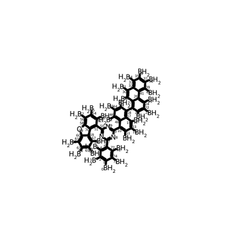 Bc1c(B)c(B)c(-c2nc(-c3c(B)c(B)c(B)c4c(-c5c(B)c(B)c(B)c6c5c(B)c(B)c5c(B)c(B)c(B)c(B)c56)c(B)c(B)c(B)c34)nc(-c3c(B)c(B)c(B)c4oc5c(B)c(B)c(B)c(B)c5c34)n2)c(B)c1B